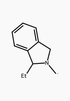 [CH2]N1Cc2ccccc2C1CC